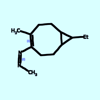 CCC1C2CC/C(C)=C(/N=N\C)CCC12